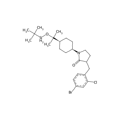 CC(C)(C)[SiH2]OC(C)(C)[C@H]1CC[C@@H](N2CCC(Cc3ccc(Br)cc3Cl)C2=O)CC1